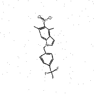 Cc1cc2c(ccn2Cc2ccc(C(F)(F)F)cc2)c(C)c1[N+](=O)[O-]